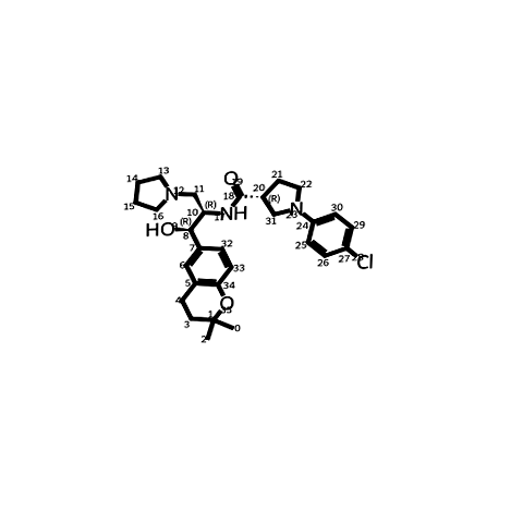 CC1(C)CCc2cc([C@@H](O)[C@@H](CN3CCCC3)NC(=O)[C@@H]3CCN(c4ccc(Cl)cc4)C3)ccc2O1